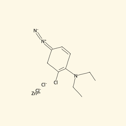 CCN(CC)C1=C(Cl)CC(=[N+]=[N-])C=C1.[Cl-].[Cl-].[Zn+2]